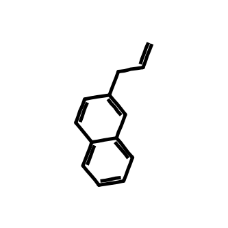 C=CCc1ccc2ccccc2c1